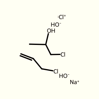 C=CCCl.CC(O)CCl.[Cl+].[Na+].[OH-].[OH-]